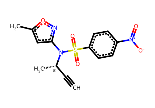 C#C[C@H](C)N(c1cc(C)on1)S(=O)(=O)c1ccc([N+](=O)[O-])cc1